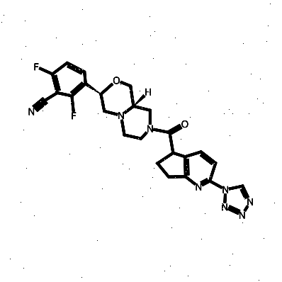 N#Cc1c(F)ccc([C@@H]2CN3CCN(C(=O)C4CCc5nc(-n6cnnn6)ccc54)C[C@H]3CO2)c1F